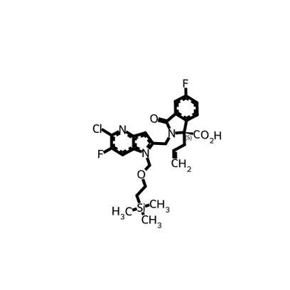 C=CC[C@@]1(C(=O)O)c2ccc(F)cc2C(=O)N1Cc1cc2nc(Cl)c(F)cc2n1COCC[Si](C)(C)C